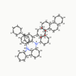 c1ccc(-c2ccc(N(c3cccc(-c4cccc5c4ccc4ccccc45)c3)c3cccc4c5ccccc5n(-c5ccccc5)c34)c(-c3ccccc3)c2)cc1